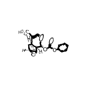 C[C@]12O[C@H]1C[C@@H]1C(C(=O)O)=CO[C@@H](OC(=O)Oc3ccccc3)[C@H]12